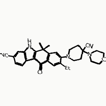 CCc1cc2c(cc1N1CCC(C#N)(N3CCOCC3)CC1)C(C)(C)c1[nH]c3cc(C#N)ccc3c1C2=O